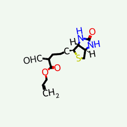 C=CCOC(=O)C(C=O)CCC[C@@H]1SC[C@@H]2NC(=O)N[C@@H]21